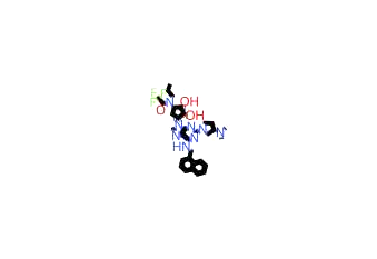 CCCN(C(=O)C(F)(F)F)[C@H]1C[C@@H](n2cnc3c(NCc4cccc5ccccc45)nc(N4CC[C@@H](N(C)C)C4)nc32)[C@H](O)[C@@H]1O